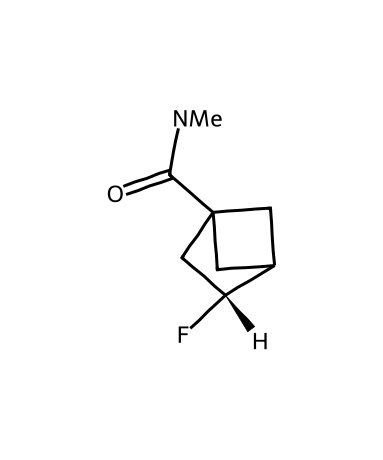 CNC(=O)C12CC(C1)[C@H](F)C2